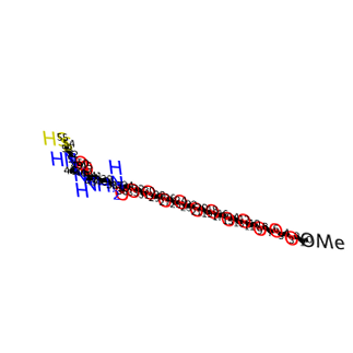 COCCOCCOCCOCCOCCOCCOCCOCCOCCOCCOCCOCC(=O)NCCCCC(N)C(=O)NC(C)C(=O)NCCSS